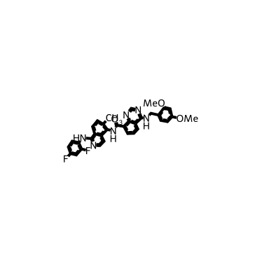 COc1ccc(CNc2ncnc3c(C(=O)Nc4c(C)ccc5c(Nc6ccc(F)cc6F)nccc45)cccc23)c(OC)c1